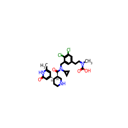 Cc1cc([C@H]2CCNC[C@@H]2C(=O)N(Cc2cc(CCN(C)C(=O)O)cc(Cl)c2Cl)C2CC2)cc(=O)[nH]1